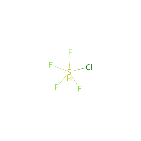 F[SH](F)(F)(F)Cl